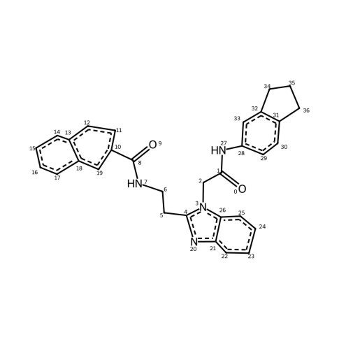 O=C(Cn1c(CCNC(=O)c2ccc3ccccc3c2)nc2ccccc21)Nc1ccc2c(c1)CCC2